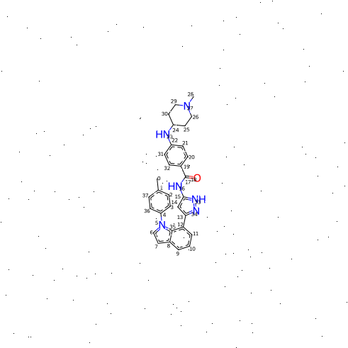 Cc1ccc(-n2ccc3cccc(-c4cc(NC(=O)c5ccc(NC6CCN(C)CC6)cc5)[nH]n4)c32)cc1